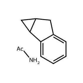 CC(N)=O.c1ccc2c(c1)CC1CC21